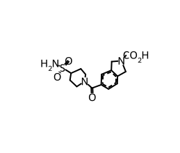 NS(=O)(=O)C1CCN(C(=O)c2ccc3c(c2)CN(C(=O)O)C3)CC1